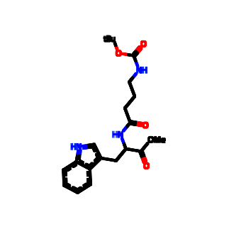 COC(=O)C(Cc1c[nH]c2ccccc12)NC(=O)CCCNC(=O)OC(C)(C)C